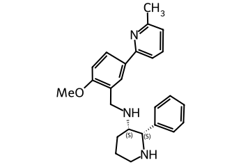 COc1ccc(-c2cccc(C)n2)cc1CN[C@H]1CCCN[C@H]1c1ccccc1